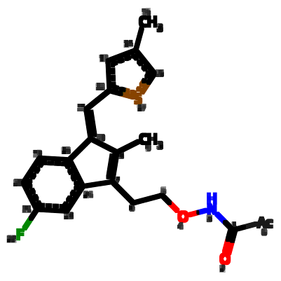 CC(=O)C(=O)NOCCC1=C(C)C(=Cc2cc(C)cs2)c2ccc(F)cc21